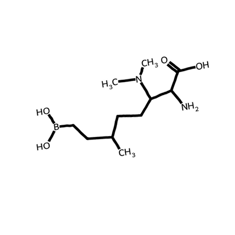 CC(CCB(O)O)CCC(C(N)C(=O)O)N(C)C